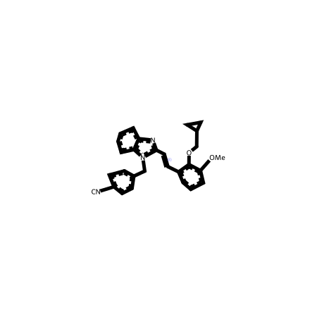 [C-]#[N+]c1ccc(Cn2c(/C=C/c3cccc(OC)c3OCC3CC3)nc3ccccc32)cc1